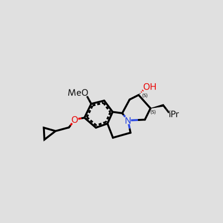 COc1cc2c(cc1OCC1CC1)CCN1C[C@H](CC(C)C)[C@@H](O)CC21